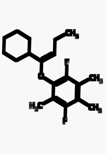 CC/C=C(/Oc1c(C)c(F)c(C)c(C)c1F)C1CCCCC1